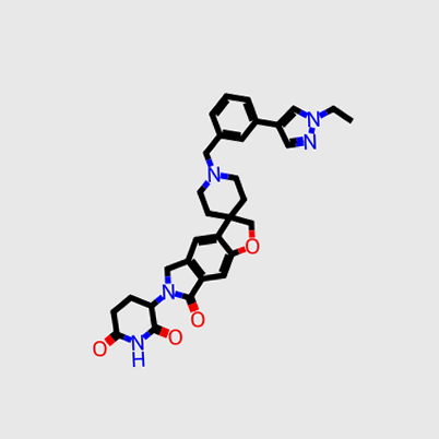 CCn1cc(-c2cccc(CN3CCC4(CC3)COc3cc5c(cc34)CN(C3CCC(=O)NC3=O)C5=O)c2)cn1